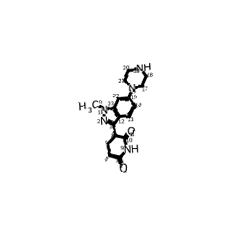 Cn1nc(C2CCC(=O)NC2=O)c2ccc(N3CCNCC3)cc21